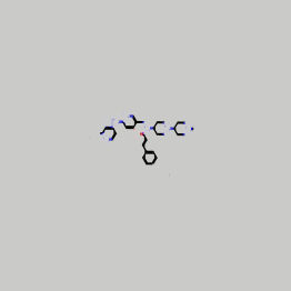 Cc1cc(Nc2ccc(CN(C(=O)/C=C/c3ccc(C(F)(F)F)cc3)C3CCN(C4CCN(C)CC4)CC3)cn2)ccn1